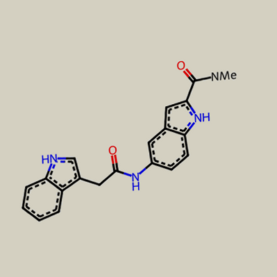 CNC(=O)c1cc2cc(NC(=O)Cc3c[nH]c4ccccc34)ccc2[nH]1